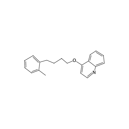 Cc1ccccc1CCCCOc1ccnc2ccccc12